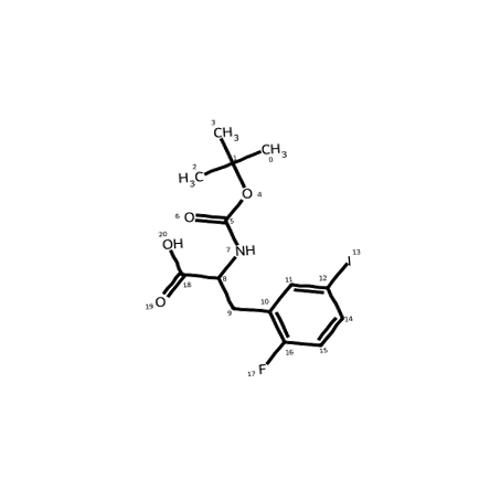 CC(C)(C)OC(=O)NC(Cc1cc(I)ccc1F)C(=O)O